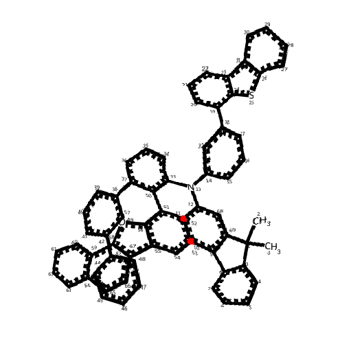 CC1(C)c2ccccc2-c2ccc(N(c3cccc(-c4cccc5c4sc4ccccc45)c3)c3cccc(-c4cccc(-c5ccccc5)c4)c3-c3cccc4c3oc3c5ccccc5ccc43)cc21